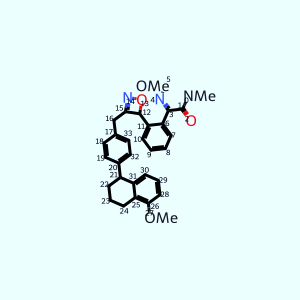 CNC(=O)C(=NOC)c1ccccc1C1ON=C1Cc1ccc(C2CCCc3c(OC)cccc32)cc1